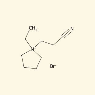 CC[N+]1(CCC#N)CCCC1.[Br-]